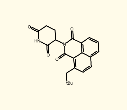 CC(C)(C)Cc1ccc2cccc3c2c1C(=O)N(C1CCC(=O)NC1=O)C3=O